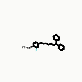 CCCCCc1ccc(CCCCCCC(c2ccccc2)c2ccccc2)cc1F